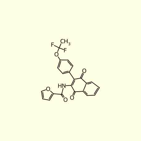 CC(F)(F)Oc1ccc(C2=C(NC(=O)c3ccco3)C(=O)c3ccccc3C2=O)cc1